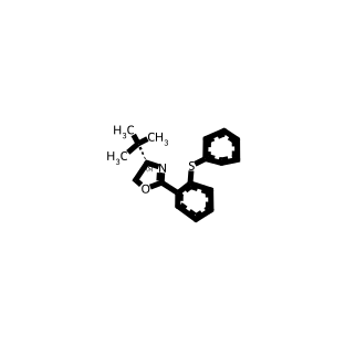 CC(C)(C)[C@H]1COC(c2ccccc2Sc2ccccc2)=N1